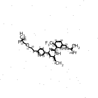 C=C=C1C=C(c2ccc(CCCOCC(C)(F)F)nc2)N=C(c2cc(CNC(=C)C(C)C)ccc2C(F)(F)F)N1